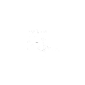 CCCOC(C)(C)C(C=CC1C(OC2CCCCO2)CC(O)C1CC(=O)O)OC1CCCCO1